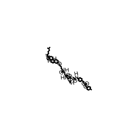 Cc1ccc(OC(=O)OCc2ccc(NC(=O)CNC(=O)[C@H](CC(C)C)NC(=O)CCC(=O)NCCCO[C@H]3CC[C@@]4(C)C(=CC[C@H]5[C@@H]6CC[C@H]([C@H](C)CCCC(C)C)[C@@]6(C)CC[C@@H]54)C3)cc2)cc1